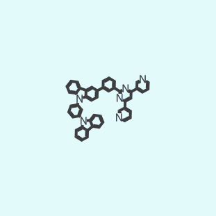 c1cncc(-c2cc(-c3cccnc3)nc(-c3cccc(-c4ccc5c(c4)c4ccccc4n5-c4cccc(-n5c6ccccc6c6ccccc65)c4)c3)n2)c1